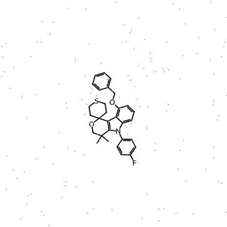 CC1(C)COC2(CCSCC2)c2c1n(-c1ccc(F)cc1)c1cccc(OCc3ccccc3)c21